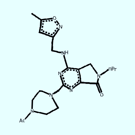 CCCN1Cc2c(NCc3cc(C)on3)nc(N3CCN(C(C)=O)CC3)nc2C1=O